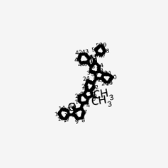 CC1(C)c2cc(-c3cccc4c3oc3ccccc34)ccc2-c2ccc(C3c4ccccc4-c4cc5c(cc43)c3ccccc3n5-c3ccccc3)cc21